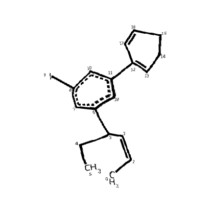 C/C=C\C(CC)c1cc(I)cc(C2=CCCC=C2)c1